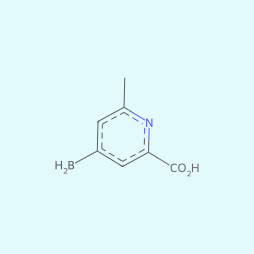 Bc1cc(C)nc(C(=O)O)c1